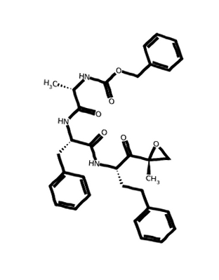 C[C@H](NC(=O)OCc1ccccc1)C(=O)N[C@@H](Cc1ccccc1)C(=O)N[C@@H](CCc1ccccc1)C(=O)[C@@]1(C)CO1